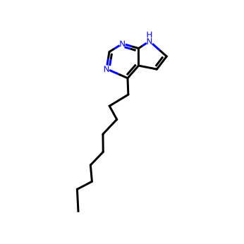 CCCCCCCCCc1ncnc2[nH]ccc12